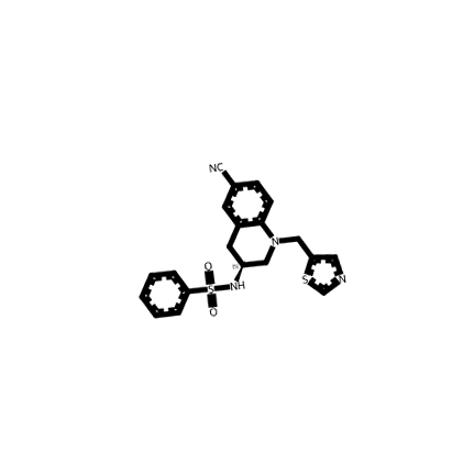 N#Cc1ccc2c(c1)C[C@H](NS(=O)(=O)c1ccccc1)CN2Cc1cncs1